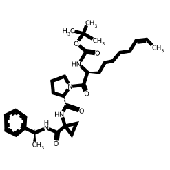 C/C=C\CCCCC[C@H](NC(=O)OC(C)(C)C)C(=O)N1CCC[C@H]1C(=O)NC1(C(=O)N[C@@H](C)c2ccccc2)CC1